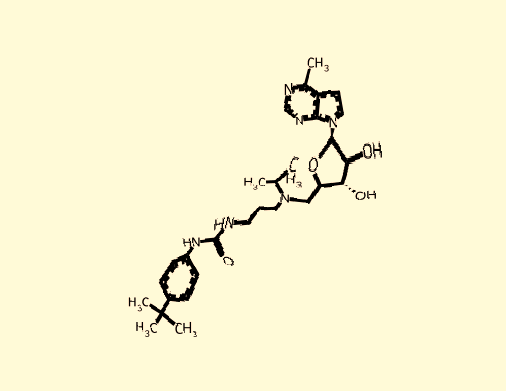 Cc1ncnc2c1ccn2[C@@H]1OC(CN(CCCNC(=O)Nc2ccc(C(C)(C)C)cc2)C(C)C)[C@@H](O)C1O